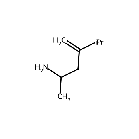 C=C(CC(C)N)C(C)C